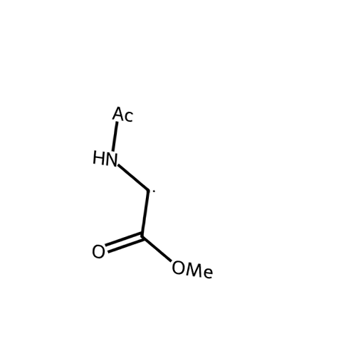 COC(=O)[CH]NC(C)=O